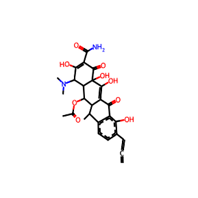 C=C=Cc1ccc2c(c1O)C(=O)C1=C(O)C3(O)C(=O)C(C(N)=O)=C(O)C(N(C)C)C3C(OC(C)=O)C1C2C